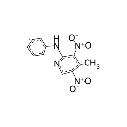 Cc1c([N+](=O)[O-])cnc(Nc2c[c]ccc2)c1[N+](=O)[O-]